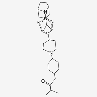 CC(C)C(=O)CC1CCC(N2CCC(c3cnc(N4C5CCC4CN(C(C)C)C5)nc3)CC2)CC1